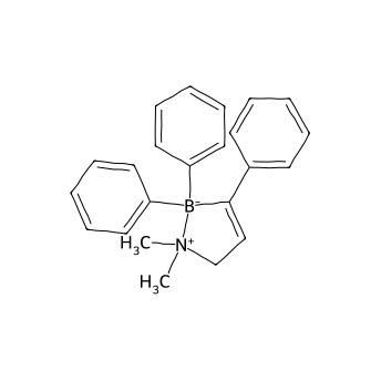 C[N+]1(C)CC=C(c2ccccc2)[B-]1(c1ccccc1)c1ccccc1